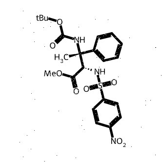 COC(=O)[C@@H](NS(=O)(=O)c1ccc([N+](=O)[O-])cc1)[C@](C)(NC(=O)OC(C)(C)C)c1ccccc1